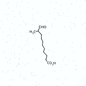 CC(C=O)CCCCCCCCC(=O)O